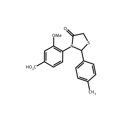 COc1cc(C(=O)O)ccc1N1C(=O)CSC1c1ccc(C)cc1